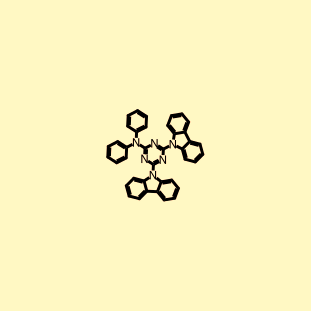 c1ccc(N(c2ccccc2)c2nc(-n3c4ccccc4c4ccccc43)nc(-n3c4ccccc4c4ccccc43)n2)cc1